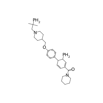 CC(C)(P)CN1CCC(COc2ccc(C3C=CC(C(=O)N4CCCCC4)=CC3P)cc2)CC1